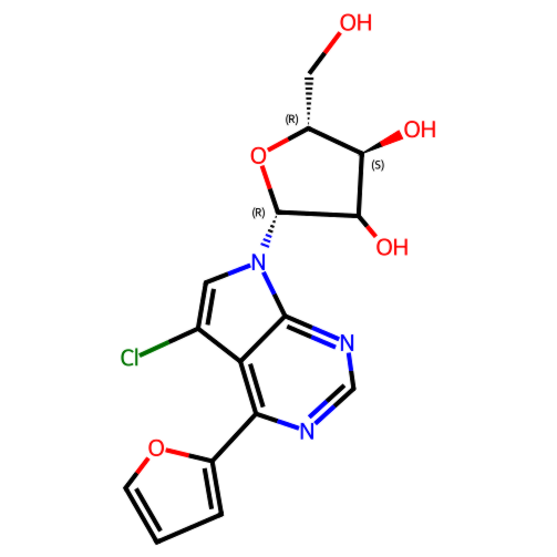 OC[C@H]1O[C@@H](n2cc(Cl)c3c(-c4ccco4)ncnc32)C(O)[C@@H]1O